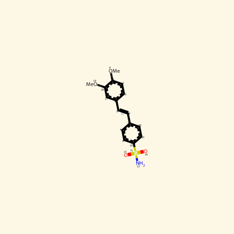 COc1ccc(/C=C/c2ccc(S(N)(=O)=O)cc2)cc1OC